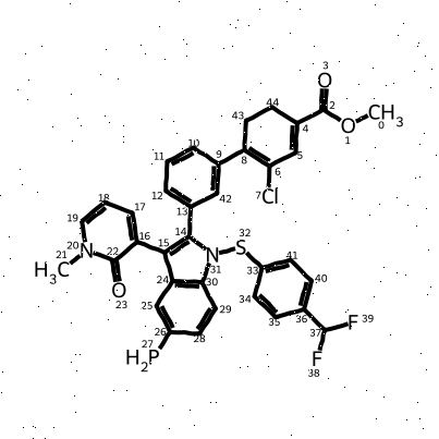 COC(=O)C1=CC(Cl)=C(c2cccc(-c3c(-c4cccn(C)c4=O)c4cc(P)ccc4n3Sc3ccc(C(F)F)cc3)c2)CC1